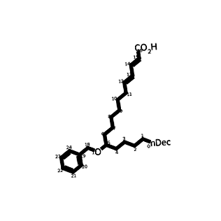 CCCCCCCCCCCCCCC(CCCCCCC=CC=CC(=O)O)OCc1ccccc1